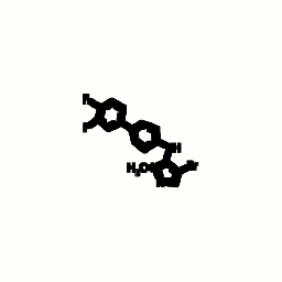 Cn1ncc(Br)c1Nc1ccc(-c2ccc(F)c(F)c2)cc1